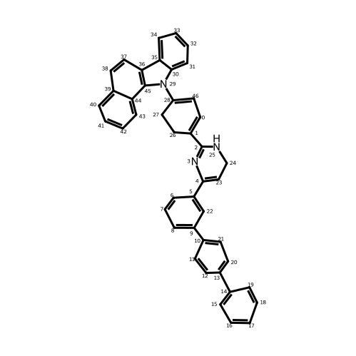 C1=C(C2=NC(c3cccc(-c4ccc(-c5ccccc5)cc4)c3)=CCN2)CCC(n2c3ccccc3c3ccc4ccccc4c32)=C1